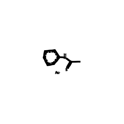 CC(=S)Nc1ccccc1.[Au]